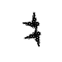 C#CCOc1ccc2cc(C3(c4ccc5cc(OCC#C)ccc5c4)C(=O)N(CCCCN4C(=O)C(c5ccc6cc(OCC#C)ccc6c5)(c5ccc6cc(OCC#C)ccc6c5)c5ccccc54)c4ccccc43)ccc2c1